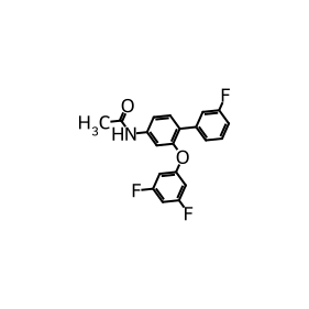 CC(=O)Nc1ccc(-c2cccc(F)c2)c(Oc2cc(F)cc(F)c2)c1